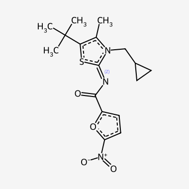 Cc1c(C(C)(C)C)s/c(=N\C(=O)c2ccc([N+](=O)[O-])o2)n1CC1CC1